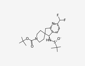 CC(C)(C)OC(=O)N1CCC2(CC1)Cc1nc(C(F)F)ccc1[C@H]2N[S@+]([O-])C(C)(C)C